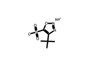 CC(C)(C)c1nnoc1S(=O)(=O)[O-].[Na+]